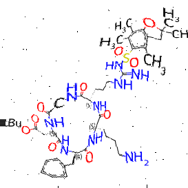 Cc1c(C)c(S(=O)(=O)NC(=N)NCCC[C@@H]2NC(=O)[C@H](CCCCN)NC(=O)[C@@H](Cc3ccccc3)NC(=O)[C@H](CC(=O)OC(C)(C)C)NC(=O)CNC2=O)c(C)c2c1OC(C)(C)C2